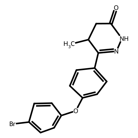 CC1CC(=O)NN=C1c1ccc(Oc2ccc(Br)cc2)cc1